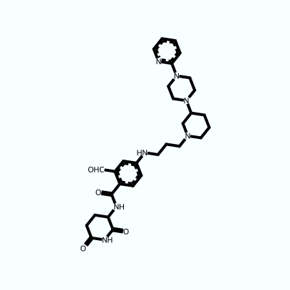 O=Cc1cc(NCCCN2CCCC(N3CCN(c4ccccn4)CC3)C2)ccc1C(=O)NC1CCC(=O)NC1=O